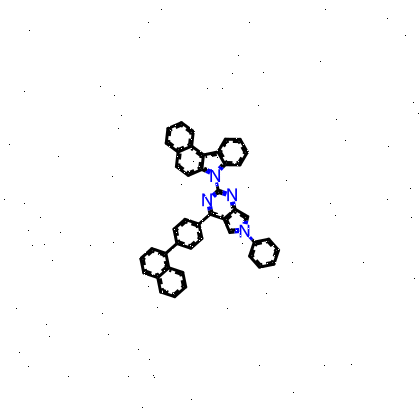 c1ccc(-n2cc3nc(-n4c5ccccc5c5c6ccccc6ccc54)nc(-c4ccc(-c5cccc6ccccc56)cc4)c3c2)cc1